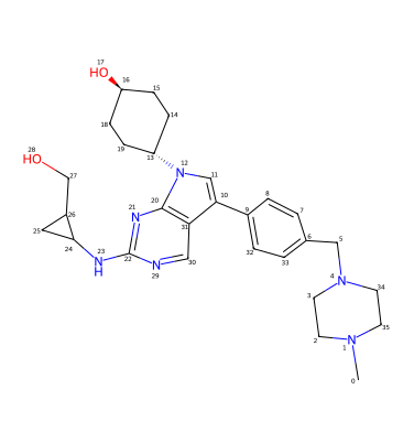 CN1CCN(Cc2ccc(-c3cn([C@H]4CC[C@H](O)CC4)c4nc(NC5CC5CO)ncc34)cc2)CC1